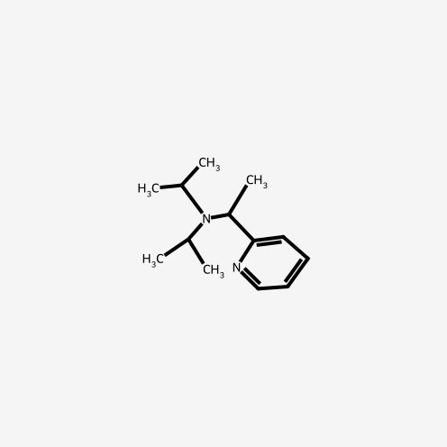 CC(C)N(C(C)C)C(C)c1ccccn1